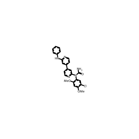 COc1cc(OC)c(N(C(N)=O)c2cc(-c3ccnc(Nc4ccccc4)c3)ccn2)cc1Cl